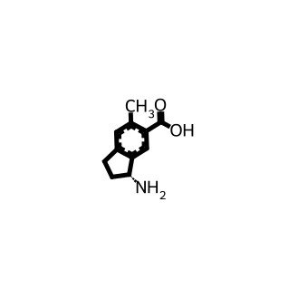 Cc1cc2c(cc1C(=O)O)[C@H](N)CC2